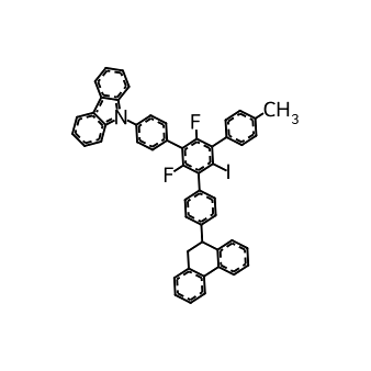 Cc1ccc(-c2c(F)c(-c3ccc(-n4c5ccccc5c5ccccc54)cc3)c(F)c(-c3ccc(C4Cc5ccccc5-c5ccccc54)cc3)c2I)cc1